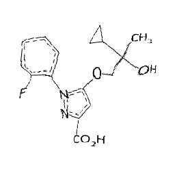 CC(O)(COc1cc(C(=O)O)nn1-c1ccccc1F)C1CC1